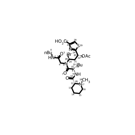 CCCCNC(=O)CN(C(=O)[C@@H](NC(=O)[C@H]1CCCCN1C)[C@@H](C)CC)[C@H](C[C@@H](OC(C)=O)c1nc(C(=O)O)cs1)C(C)C